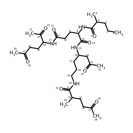 CCCC(C)C(=O)NC(CCC(=O)NC(CCC(C)=O)C(C)=O)C(=O)NC(CCCNC(=O)C(C)CCC(C)=O)CC(C)=O